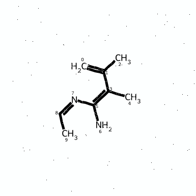 C=C(C)/C(C)=C(N)\N=C/C